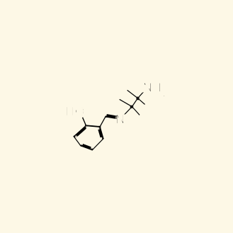 CC(C)(N)C(C)(C)N=Cc1ccccc1O